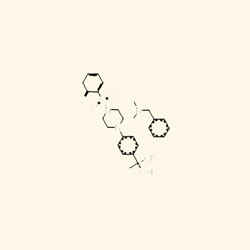 CN(Cc1ccccc1)C[C@H]1CN(S(=O)(=O)C2=CC=CCC2=S)CCN1c1ccc([C@@](C)(O)C(F)(F)F)cc1